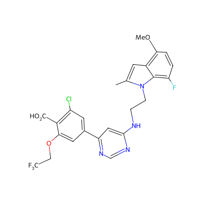 COc1ccc(F)c2c1cc(C)n2CCNc1cc(-c2cc(Cl)c(C(=O)O)c(OCC(F)(F)F)c2)ncn1